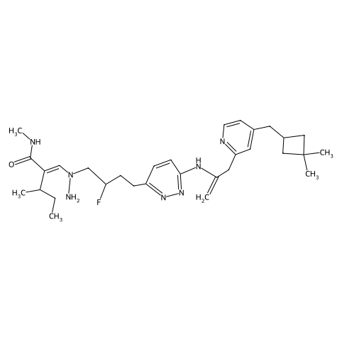 C=C(Cc1cc(CC2CC(C)(C)C2)ccn1)Nc1ccc(CCC(F)CN(N)/C=C(/C(=O)NC)C(C)CC)nn1